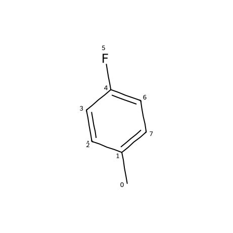 Cc1[c]cc(F)cc1